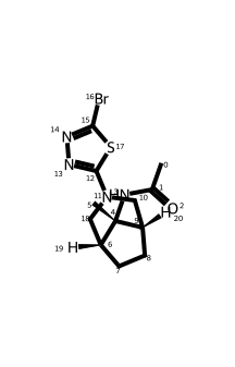 CC(=O)N[C@@]1(C)[C@@H]2CC[C@H]1CN(c1nnc(Br)s1)C2